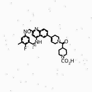 Cc1cc(N[C@H](C)c2cc([N+](=O)[O-])cc(C)c2F)c2cc(C3=CCN(C(=O)C4CCN(C(=O)O)CC4)CC3)ccc2n1